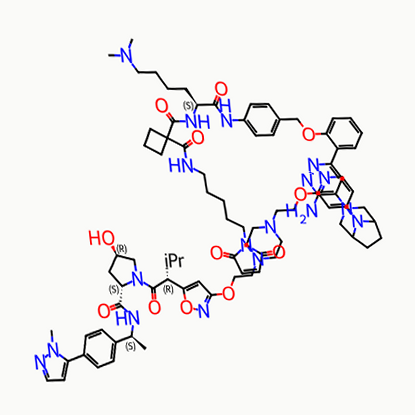 CC(C)[C@@H](C(=O)N1C[C@H](O)C[C@H]1C(=O)N[C@@H](C)c1ccc(-c2ccnn2C)cc1)c1cc(OCCN2CCN(CCOc3cc(N4C5CCC4CN(c4cc(-c6ccccc6OCc6ccc(NC(=O)[C@H](CCCCN(C)C)NC(=O)C7(C(=O)NCCCCCN8C(=O)C=CC8=O)CCC7)cc6)nnc4N)C5)ccn3)CC2)no1